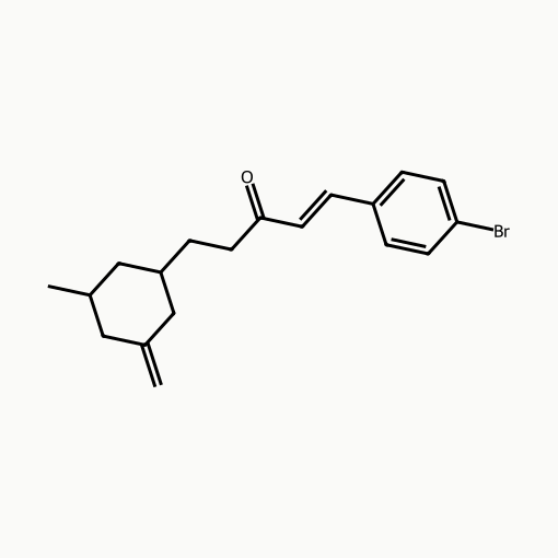 C=C1CC(C)CC(CCC(=O)/C=C/c2ccc(Br)cc2)C1